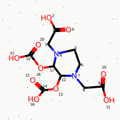 O=C(O)CN1CCN(CC(=O)O)C(OC(=O)O)C1OC(=O)O